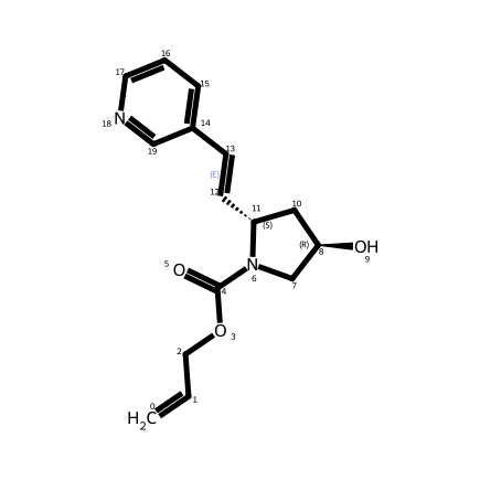 C=CCOC(=O)N1C[C@H](O)C[C@H]1/C=C/c1cccnc1